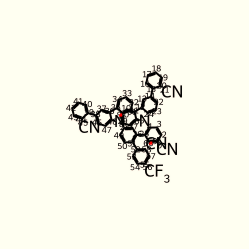 N#Cc1ccc(-n2c3ccccc3c3cc(-c4ccccc4C#N)ccc32)c(-c2cc(-n3c4ccccc4c4cc(-c5ccccc5C#N)ccc43)ccc2-c2ccc(C(F)(F)F)cc2C#N)c1